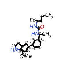 CCC(CCC(F)(F)F)NC(=O)NC(C)c1cccc(-c2cc3c(c(OC)c2)NCC3)c1